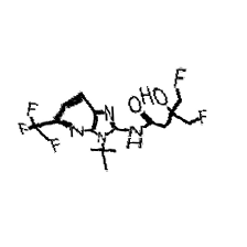 CC(C)(C)n1c(NC(=O)CC(O)(CF)CF)nc2ccc(C(F)(F)F)nc21